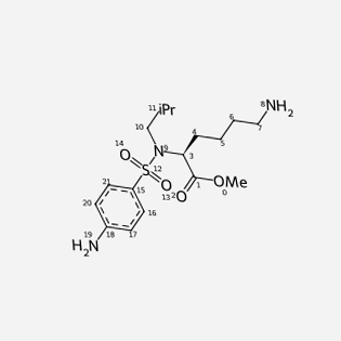 COC(=O)[C@H](CCCCN)N(CC(C)C)S(=O)(=O)c1ccc(N)cc1